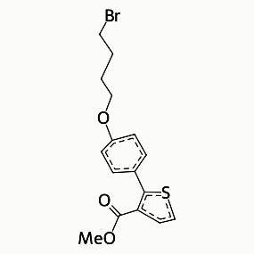 COC(=O)c1ccsc1-c1ccc(OCCCCBr)cc1